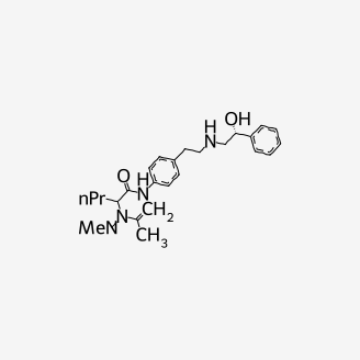 C=C(C)N(NC)C(CCC)C(=O)Nc1ccc(CCNC[C@H](O)c2ccccc2)cc1